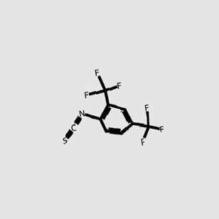 FC(F)(F)c1ccc(N=C=S)c(C(F)(F)F)c1